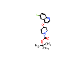 CC(C)(C)OC(=O)N1CCC(Oc2ccnc3ccc(F)cc23)CC1